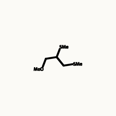 COCC(CSC)SC